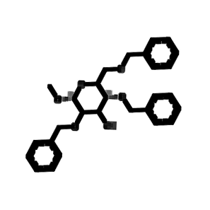 CO[C@@H]1OC(COCc2ccccc2)[C@H](OCc2ccccc2)C(O)C1OCc1ccccc1